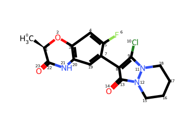 C[C@H]1Oc2cc(F)c(-c3c(Cl)n4n(c3=O)CCCC4)cc2NC1=O